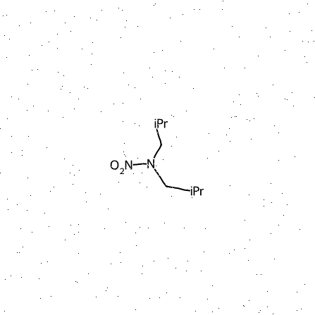 CC(C)CN(CC(C)C)[N+](=O)[O-]